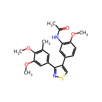 COc1ccc(-c2csnc2-c2cc(C)c(OC)c(OC)c2)cc1NC(C)=O